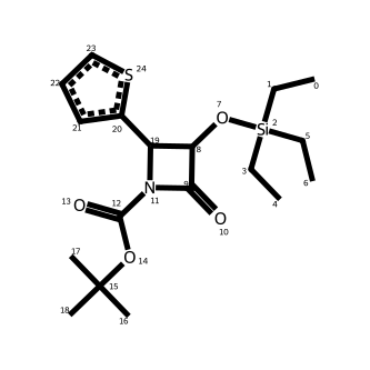 CC[Si](CC)(CC)OC1C(=O)N(C(=O)OC(C)(C)C)C1c1cccs1